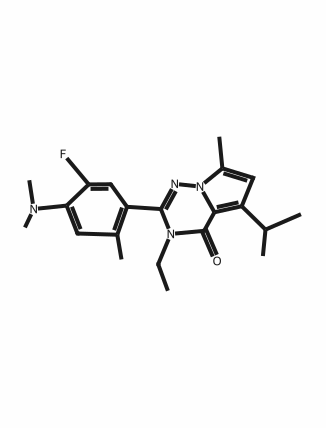 CCn1c(-c2cc(F)c(N(C)C)cc2C)nn2c(C)cc(C(C)C)c2c1=O